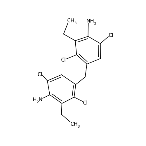 CCc1c(N)c(Cl)cc(Cc2cc(Cl)c(N)c(CC)c2Cl)c1Cl